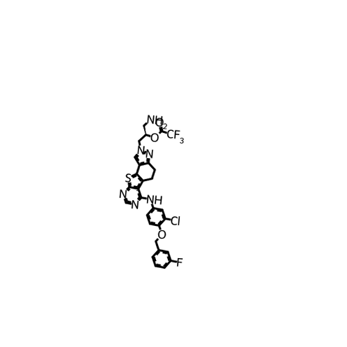 NC[C@H](Cn1cc2c(n1)CCc1c-2sc2ncnc(Nc3ccc(OCc4cccc(F)c4)c(Cl)c3)c12)OC(=O)C(F)(F)F